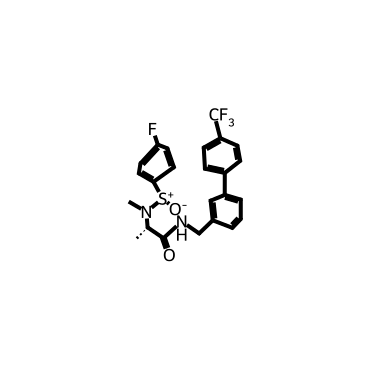 C[C@@H](C(=O)NCc1cccc(-c2ccc(C(F)(F)F)cc2)c1)N(C)[S+]([O-])c1ccc(F)cc1